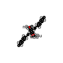 CCCCOC(=O)c1ccc2c3c(Oc4ccc(CCN5C(=O)c6ccc7c8ccc9c%10c(ccc(c%11ccc(c6c7%11)C5=O)c%108)C(=O)N(C5CCCCC5)C9=O)cc4)cc(C(=O)OCCCC)c4c(C(=O)OCCCC)ccc(c5c(Oc6ccc(CCN7C(=O)c8ccc9c%10ccc%11c%12c(ccc(c%13ccc(c8c9%13)C7=O)c%12%10)C(=O)N(C7CCCCC7)C%11=O)cc6)cc(C(=O)OCCCC)c1c25)c43